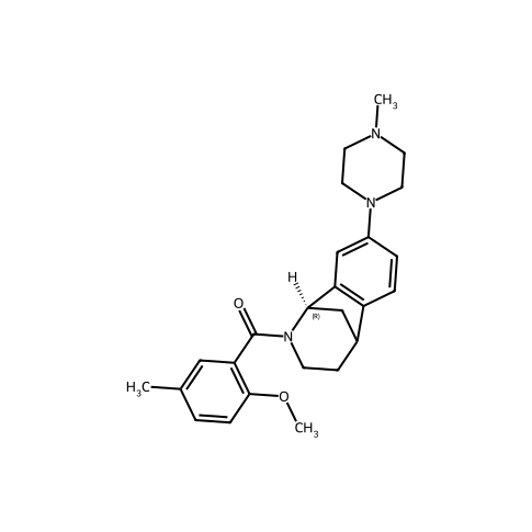 COc1ccc(C)cc1C(=O)N1CCC2C[C@@H]1c1cc(N3CCN(C)CC3)ccc12